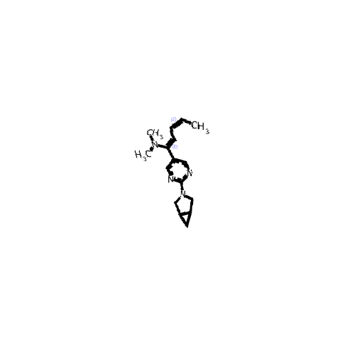 C/C=C\C=C(\c1cnc(N2CC3CC3C2)nc1)N(C)C